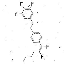 CCCC/C(F)=C(/F)c1ccc(CCc2cc(F)c(F)c(F)c2)cc1